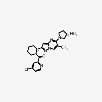 Cc1cn2nc([C@@H]3CCCCN3C(=O)c3cc(Cl)ccn3)cc2nc1N1CC[C@H](N)C1